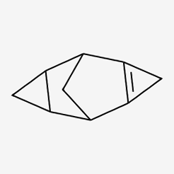 C1C2=C1C1CC2C2CC12